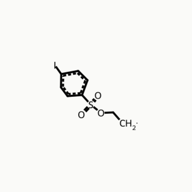 [CH2]COS(=O)(=O)c1ccc(I)cc1